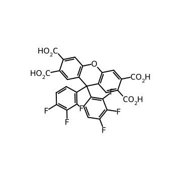 O=C(O)c1cc2c(cc1C(=O)O)C(c1ccc(F)c(F)c1F)(c1ccc(F)c(F)c1F)c1cc(C(=O)O)c(C(=O)O)cc1O2